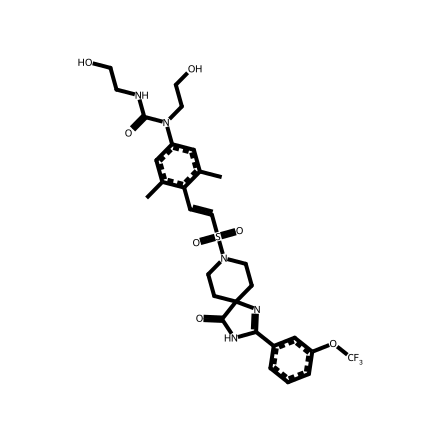 Cc1cc(N(CCO)C(=O)NCCO)cc(C)c1C=CS(=O)(=O)N1CCC2(CC1)N=C(c1cccc(OC(F)(F)F)c1)NC2=O